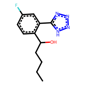 CCCCC(O)c1ccc(F)cc1-c1nnn[nH]1